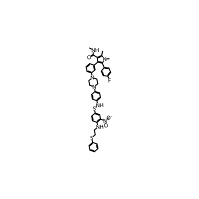 CNC(=O)c1c(-c2cccc(N3CCN(c4ccc(NSc5ccc(NCCSc6ccccc6)c([N+](=O)[O-])c5)cc4)CC3)c2)c(-c2ccc(F)cc2)n(C)c1C